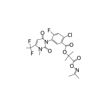 CC(C)=NOC(=O)C(C)(C)OC(=O)c1cc(-n2c(=O)cc(C(C)(F)F)n(C)c2=O)c(F)cc1Cl